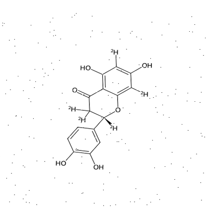 [2H]c1c(O)c([2H])c2c(c1O)C(=O)C([2H])([2H])[C@@]([2H])(c1ccc(O)c(O)c1)O2